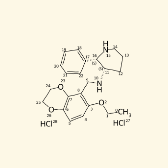 CCOc1ccc2c(c1CN[C@H]1CCCN[C@H]1c1ccccc1)OCCO2.Cl.Cl